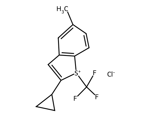 Cc1ccc2c(c1)cc(C1CC1)[s+]2C(F)(F)F.[Cl-]